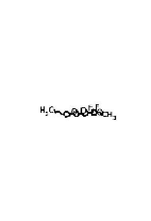 CCCCCC1CCC(C2CCC(C3CCC(c4ccc(OCC)c(F)c4F)CO3)CO2)CC1